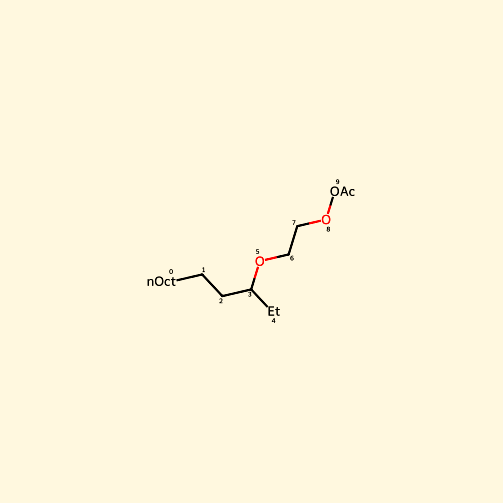 CCCCCCCCCCC(CC)OCCOOC(C)=O